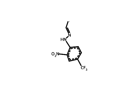 [CH2]C=NNc1ccc(C(F)(F)F)cc1[N+](=O)[O-]